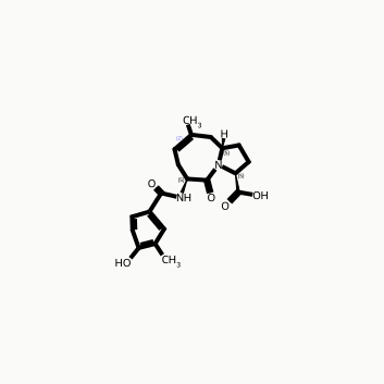 C/C1=C/C[C@H](NC(=O)c2ccc(O)c(C)c2)C(=O)N2[C@@H](CC[C@H]2C(=O)O)C1